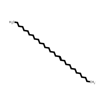 [CH2]CCCCCCCCCC/C=C/CCCCCCCCCCCCCCCCC